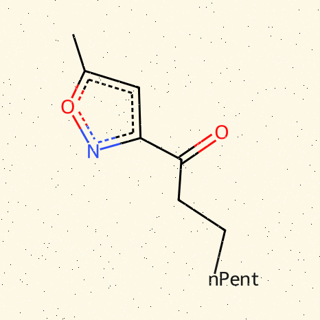 CCCCCCCC(=O)c1cc(C)on1